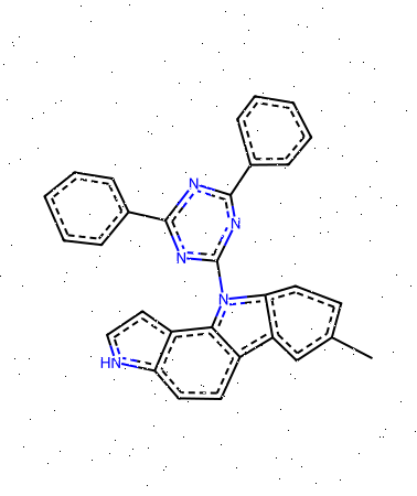 Cc1ccc2c(c1)c1ccc3[nH]ccc3c1n2-c1nc(-c2ccccc2)nc(-c2ccccc2)n1